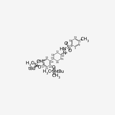 Cc1ccc(S(=O)(=O)NN=C2CCC(c3ccc(O[Si](C)(C)C(C)(C)C)cc3O[Si](C)(C)C(C)(C)C)CC2)cc1